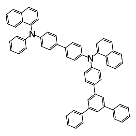 c1ccc(-c2cc(-c3ccccc3)cc(-c3ccc(N(c4ccc(-c5ccc(N(c6ccccc6)c6cccc7ccccc67)cc5)cc4)c4cccc5ccccc45)cc3)c2)cc1